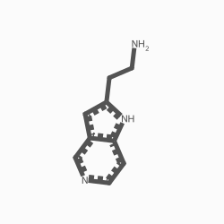 NCCc1cc2cnccc2[nH]1